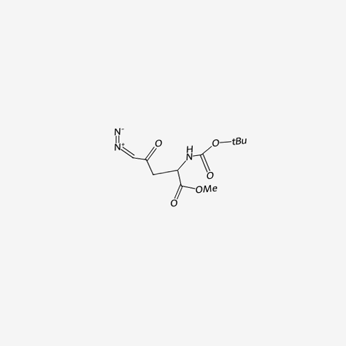 COC(=O)C(CC(=O)C=[N+]=[N-])NC(=O)OC(C)(C)C